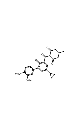 COc1ccc(-n2nc(C3CC3)cc(C(=O)C3C(=O)CC(C)CC3=O)c2=O)cc1OC